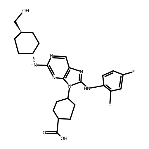 O=C(O)C1CCC(n2c(Nc3ccc(F)cc3F)nc3cnc(N[C@H]4CC[C@H](CO)CC4)nc32)CC1